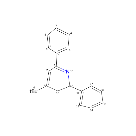 CC(C)(C)C1=CC(c2ccccc2)=NC(c2ccccc2)C1